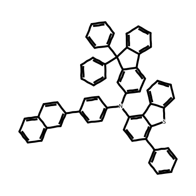 c1ccc(-c2ccc(N(c3ccc(-c4ccc5ccccc5c4)cc3)c3ccc4c(c3)C(c3ccccc3)(c3ccccc3)c3ccccc3-4)c3c2sc2ccccc23)cc1